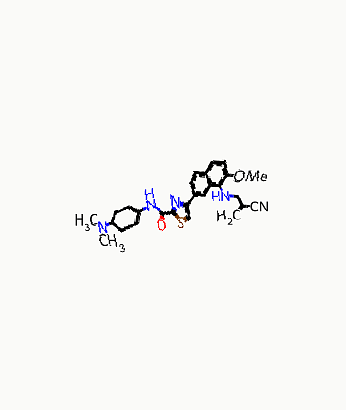 C=C(C#N)CNc1c(OC)ccc2ccc(-c3csc(C(=O)NC4CCC(N(C)C)CC4)n3)cc12